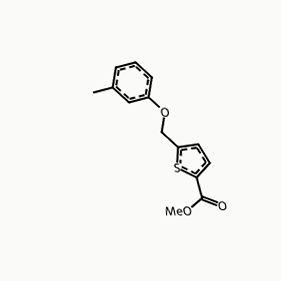 COC(=O)c1ccc(COc2cccc(C)c2)s1